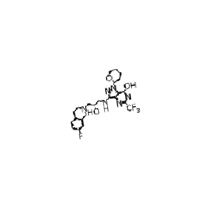 Oc1nc(C(F)(F)F)nc2c(NC[C@H](O)CN3CCc4ccc(F)cc4C3)nn(C3CCCCO3)c12